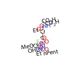 CCCCCC(C(=O)NCNC(=O)c1ccc(-c2ccc(C(=O)NC(CC(=O)O)C(=O)O)c(OCC)c2)o1)[C@@H](CC)N(C=O)OC(=O)c1ccc(OC)cc1F